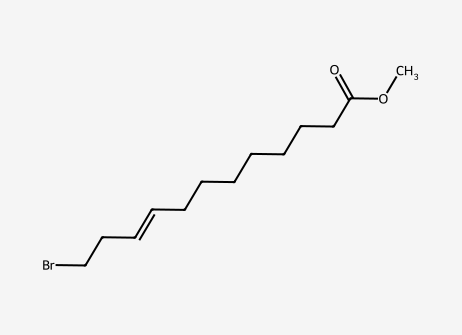 COC(=O)CCCCCCCC=CCCBr